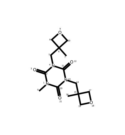 Cn1c(=O)n(CC2(C)COC2)c(=O)n(CC2(C)COC2)c1=O